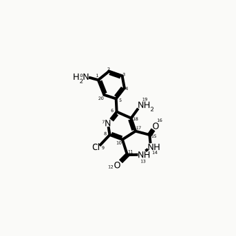 Nc1cccc(-c2nc(Cl)c3c(=O)[nH][nH]c(=O)c3c2N)c1